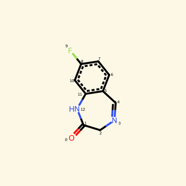 O=C1CN=[C]c2ccc(F)cc2N1